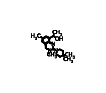 Cc1cc(C(C)O)c2c(c1)=CN(C)C(N1CCC(C)(C)CC1)N=2